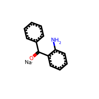 Nc1ccccc1C(=O)c1ccccc1.[Na]